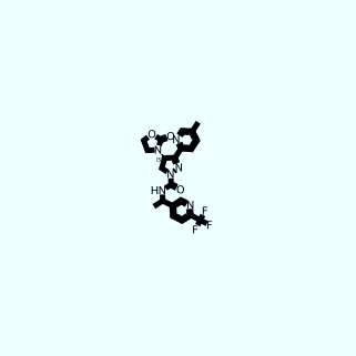 Cc1ccc(C2=NN(C(=O)NC(C)c3ccc(C(F)(F)F)nc3)C[C@@H]2N2CCOC2=O)nc1